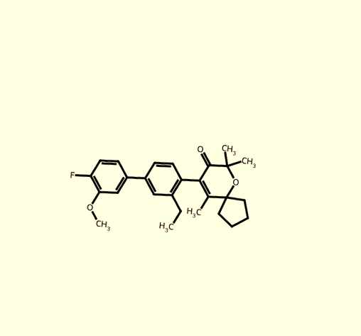 CCc1cc(-c2ccc(F)c(OC)c2)ccc1C1=C(C)C2(CCCC2)OC(C)(C)C1=O